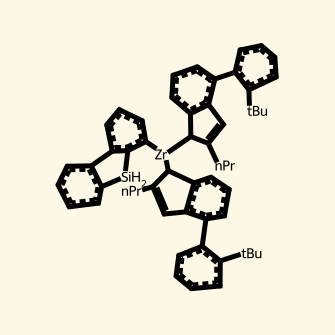 CCCC1=Cc2c(-c3ccccc3C(C)(C)C)cccc2[CH]1[Zr]([c]1cccc2c1[SiH2]c1ccccc1-2)[CH]1C(CCC)=Cc2c(-c3ccccc3C(C)(C)C)cccc21